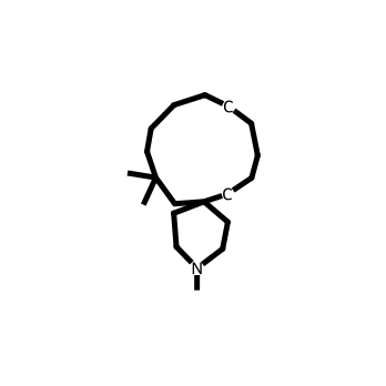 CN1CCC2(CCCCCCCCCC(C)(C)C2)CC1